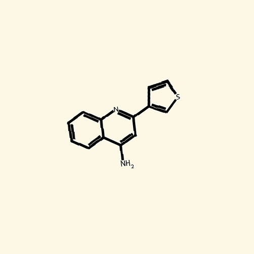 Nc1cc(-c2ccsc2)nc2ccccc12